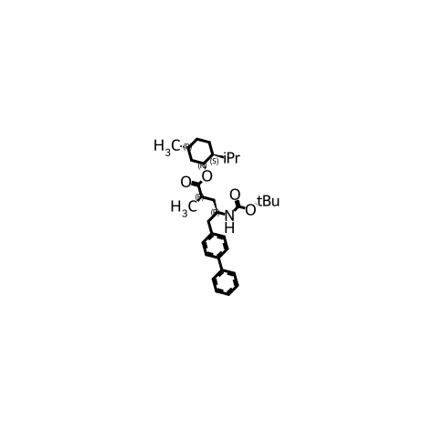 CC(C)[C@@H]1CC[C@@H](C)C[C@H]1OC(=O)[C@H](C)C[C@H](Cc1ccc(-c2ccccc2)cc1)NC(=O)OC(C)(C)C